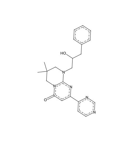 CC1(C)CN(CC(O)Cc2ccccc2)c2nc(-c3ccncn3)cc(=O)n2C1